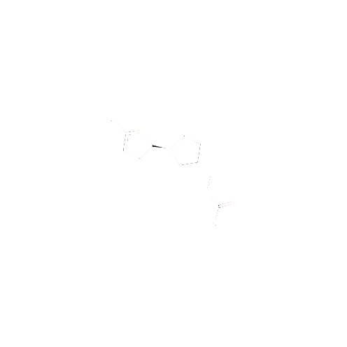 NC(=O)OC[C@H]1CC[C@H](c2ccc(Br)s2)C1